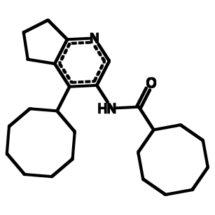 O=C(Nc1cnc2c(c1C1CCCCCCC1)CCC2)C1CCCCCCC1